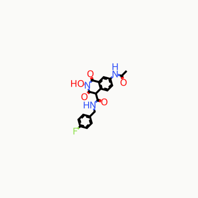 CC(=O)Nc1ccc2c(c1)C(=O)N(O)C(=O)C2C(=O)NCc1ccc(F)cc1